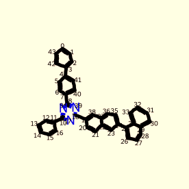 c1ccc(-c2ccc(-c3nc(-c4ccccc4)nc(-c4ccc5cc(-c6cccc7ccccc67)ccc5c4)n3)cc2)cc1